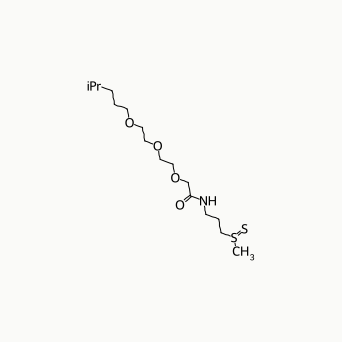 CC(C)CCCOCCOCCOCC(=O)NCCCS(C)=S